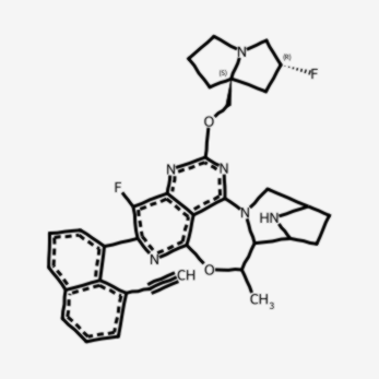 C#Cc1cccc2cccc(-c3nc4c5c(nc(OC[C@@]67CCCN6C[C@H](F)C7)nc5c3F)N3CC5CCC(N5)C3C(C)O4)c12